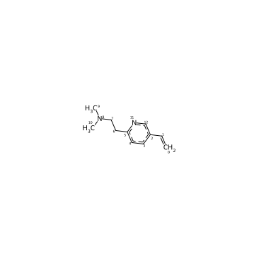 C=Cc1ccc(CCN(C)C)nc1